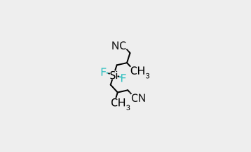 CC(CC#N)C[Si](F)(F)CC(C)CC#N